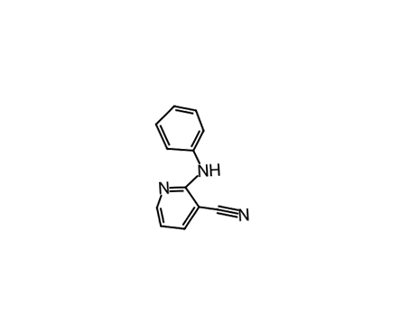 N#Cc1cccnc1Nc1ccccc1